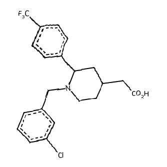 O=C(O)CC1CCN(Cc2cccc(Cl)c2)C(c2ccc(C(F)(F)F)cc2)C1